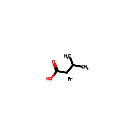 CC(C)CC(=O)O.[Pr]